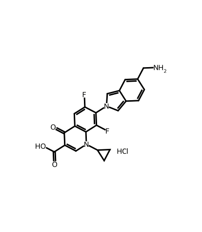 Cl.NCc1ccc2cn(-c3c(F)cc4c(=O)c(C(=O)O)cn(C5CC5)c4c3F)cc2c1